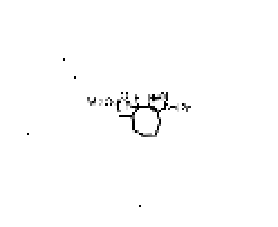 COC(=O)CC1CCCCc2c(nnn2C(C)C)C1(F)F